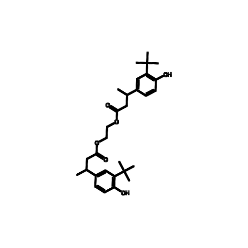 CC(CC(=O)OCCOC(=O)CC(C)c1ccc(O)c(C(C)(C)C)c1)c1ccc(O)c(C(C)(C)C)c1